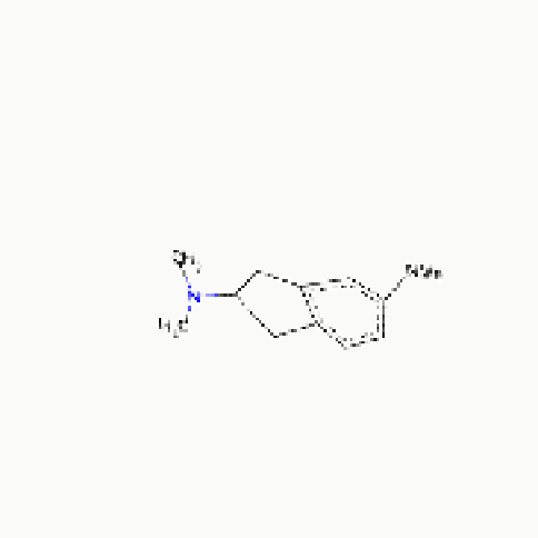 CNc1ccc2c(c1)CC(N(C)C)C2